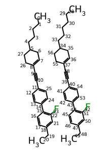 CCCCCC1CC=C(C#Cc2ccc(-c3ccc(CC)cc3F)cc2)CC1.CCCCCCC1CC=C(C#Cc2ccc(-c3ccc(CC)cc3F)cc2)CC1